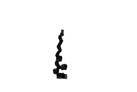 CC(C)(C)OC(=O)COCCCCCI